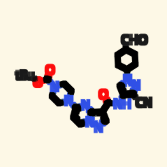 CC(C)(C)OC(=O)N1CCN(c2ccn3ncc(C(=O)Nc4cn(C5CCC(C=O)CC5)nc4C#N)c3n2)CC1